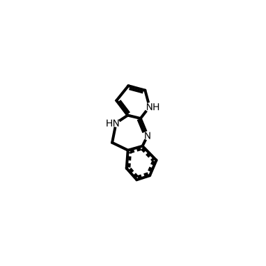 C1=CNC2=Nc3ccccc3CNC2=C1